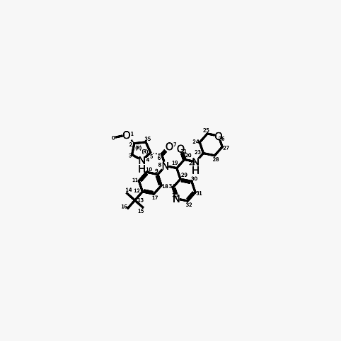 CO[C@H]1CN[C@@H](C(=O)N(c2ccc(C(C)(C)C)cc2)C(C(=O)NC2CCOCC2)c2cccnc2)C1